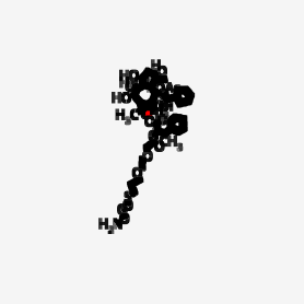 CC(=O)O[C@@]12CO[C@@H]1C[C@H](O)[C@@]1(C)C(=O)[C@H](O)C3=C(C)[C@@H](OC(=O)[C@H](OC(=O)COCCOCCCSOOON)[C@@H](C)c4ccccc4)C[C@@](O)(C(OC(=O)c4ccccc4)[C@H]21)C3(C)C